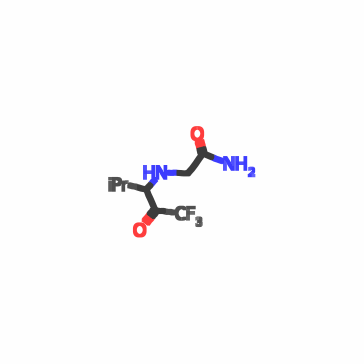 CC(C)C(NCC(N)=O)C(=O)C(F)(F)F